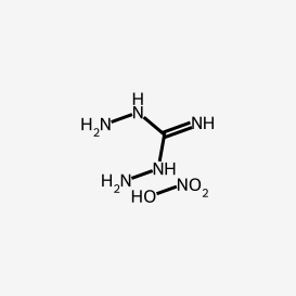 N=C(NN)NN.O=[N+]([O-])O